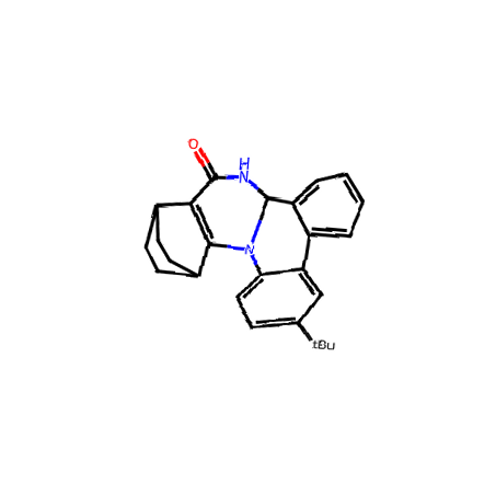 CC(C)(C)c1ccc2c(c1)-c1ccccc1C1NC(=O)C3=C(C4CCC3CC4)N21